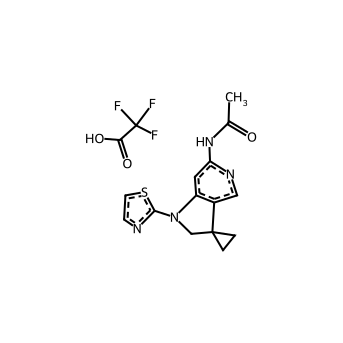 CC(=O)Nc1cc2c(cn1)C1(CC1)CN2c1nccs1.O=C(O)C(F)(F)F